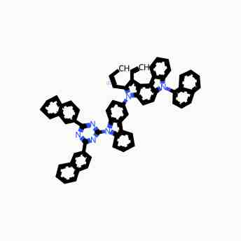 C=Cc1c(/C=C\C)n(-c2ccc3c(c2)c2ccccc2n3-c2nc(-c3ccc4ccccc4c3)nc(-c3ccc4ccccc4c3)n2)c2ccc3c(c4ccccc4n3-c3cccc4ccccc34)c12